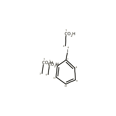 CC(=O)O.CC(=O)O.CC(=O)O.Ic1ccccc1